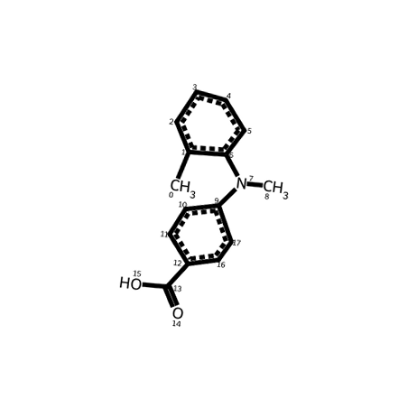 Cc1ccccc1N(C)c1ccc(C(=O)O)cc1